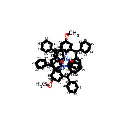 COc1cc(C(c2ccccc2)c2ccccc2)c(N2C=CN(c3c(C(c4ccccc4)c4ccccc4)cc(OC)cc3C(c3ccccc3)c3ccccc3)C2)c(C(c2ccccc2)c2ccccc2)c1